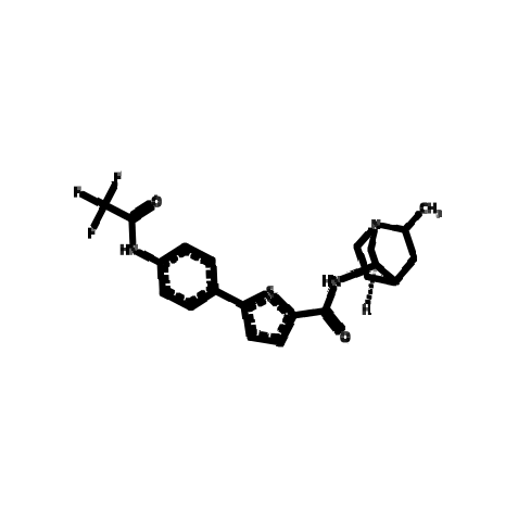 CC1CC2CCN1C[C@@H]2NC(=O)c1ccc(-c2ccc(NC(=O)C(F)(F)F)cc2)s1